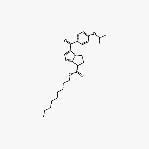 CCCCCCCCCOC(=O)C1CCn2c(C(=O)c3ccc(OC(C)C)cc3)ccc21